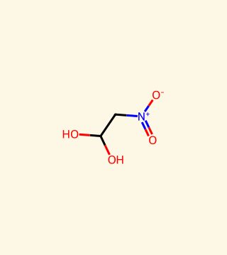 O=[N+]([O-])CC(O)O